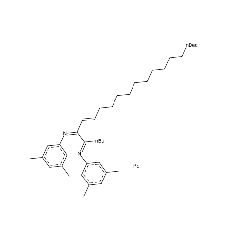 CCCCCCCCCCCCCCCCCCCCC=CC(=Nc1cc(C)cc(C)c1)C(CCCC)=Nc1cc(C)cc(C)c1.[Pd]